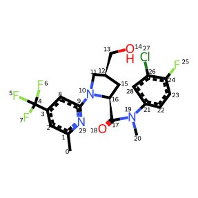 Cc1cc(C(F)(F)F)cc(N2C[C@@H](CO)C[C@H]2C(=O)N(C)c2ccc(F)c(Cl)c2)n1